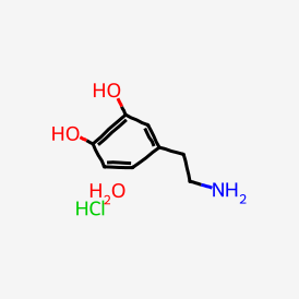 Cl.NCCc1ccc(O)c(O)c1.O